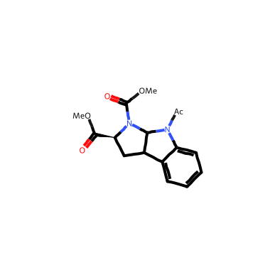 COC(=O)[C@@H]1CC2c3ccccc3N(C(C)=O)C2N1C(=O)OC